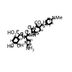 CN[n+]1ccc(SCC2=C(C(=O)O)N3C(=O)[C@@H](NC(=O)/C(=N\O[C@@H](C(=O)O)c4ccc(O)c(O)c4)c4csc(N)n4)[C@H]3SC2)cc1